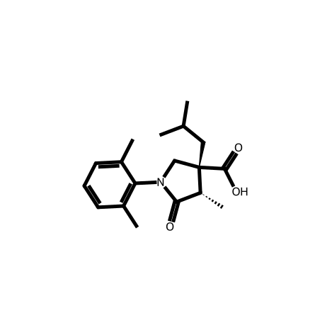 Cc1cccc(C)c1N1C[C@](CC(C)C)(C(=O)O)[C@H](C)C1=O